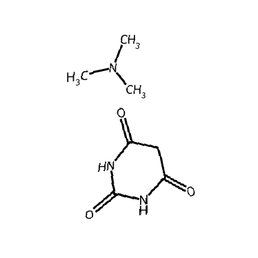 CN(C)C.O=C1CC(=O)NC(=O)N1